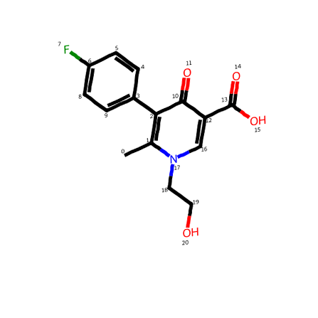 Cc1c(-c2ccc(F)cc2)c(=O)c(C(=O)O)cn1CCO